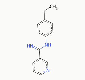 CCc1ccc(NC(=N)c2cccnc2)cc1